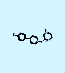 CN1CCO[C@H](CN2CCN(c3ccc(F)cc3)CC2)C1